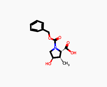 C[C@H]1[C@@H](C(=O)O)N(C(=O)OCc2ccccc2)C[C@@H]1O